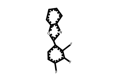 Fc1ccc(-c2nc3ccccc3o2)c(F)c1F